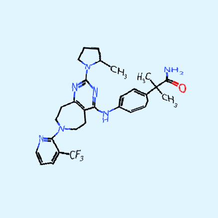 CC1CCCN1c1nc2c(c(Nc3ccc(C(C)(C)C(N)=O)cc3)n1)CCN(c1ncccc1C(F)(F)F)CC2